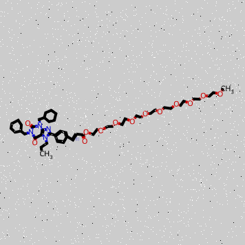 CCCn1c(-c2ccc(/C=C/C(=O)OCCOCCOCCOCCOCCOCCOCCOCCOCCOC)cc2)nc2c1c(=O)n(CC1CCCCC1)c(=O)n2CC1CCCCC1